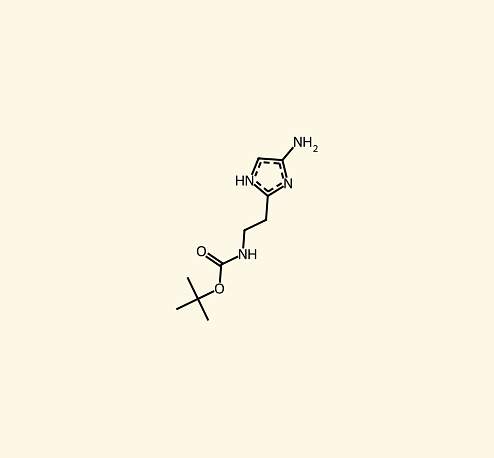 CC(C)(C)OC(=O)NCCc1nc(N)c[nH]1